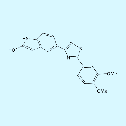 COc1ccc(-c2nc(-c3ccc4[nH]c(O)cc4c3)cs2)cc1OC